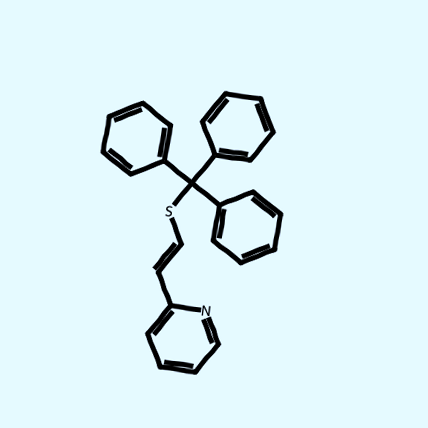 C(=Cc1ccccn1)SC(c1ccccc1)(c1ccccc1)c1ccccc1